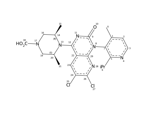 Cc1ccnc(C(C)C)c1-n1c(=O)nc(N2[C@H](C)CN(C(=O)O)C[C@@H]2C)c2cc(Cl)c(Cl)nc21